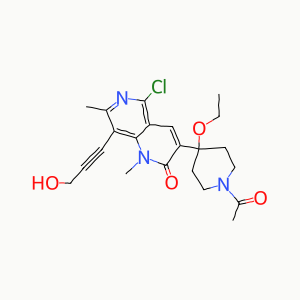 CCOC1(c2cc3c(Cl)nc(C)c(C#CCO)c3n(C)c2=O)CCN(C(C)=O)CC1